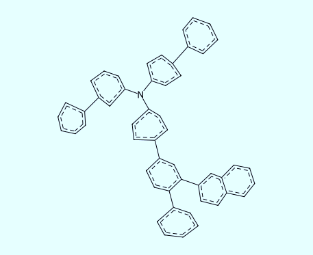 c1ccc(-c2ccc(N(c3ccc(-c4ccc(-c5ccccc5)c(-c5ccc6ccccc6c5)c4)cc3)c3cccc(-c4ccccc4)c3)cc2)cc1